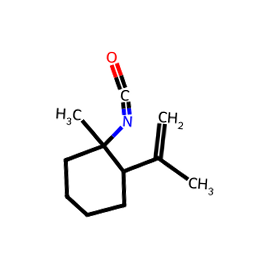 C=C(C)C1CCCCC1(C)N=C=O